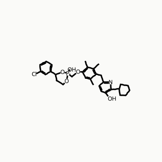 Cc1cc(OC[P]2(O)OCCC(c3cccc(Cl)c3)O2)c(C)c(C)c1Cc1ccc(O)c(C2CCCCC2)n1